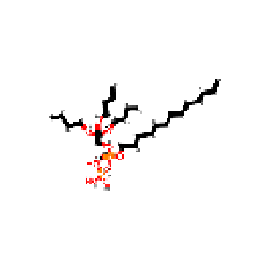 CCCCCCCCCCCCCOP(=O)(OCC(OCCCC)(OCCCC)OCCCC)OP(=O)(O)O